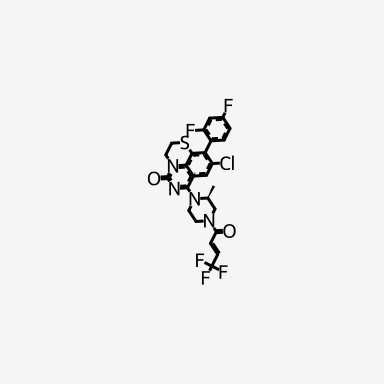 C[C@H]1CN(C(=O)/C=C/C(F)(F)F)CCN1c1nc(=O)n2c3c(c(-c4ccc(F)cc4F)c(Cl)cc13)SCC2